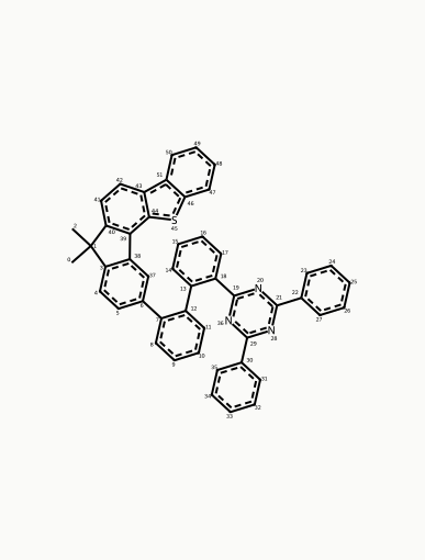 CC1(C)c2ccc(-c3ccccc3-c3ccccc3-c3nc(-c4ccccc4)nc(-c4ccccc4)n3)cc2-c2c1ccc1c2sc2ccccc21